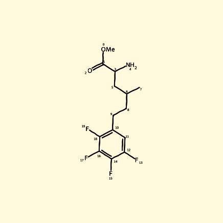 COC(=O)C(N)CC(C)CCc1cc(F)c(F)c(F)c1F